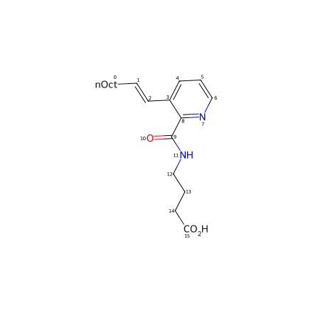 CCCCCCCC/C=C/c1cccnc1C(=O)NCCCC(=O)O